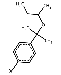 CCC(C)OC(C)(C)c1ccc(Br)cc1